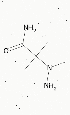 CN(N)C(C)(C)C(N)=O